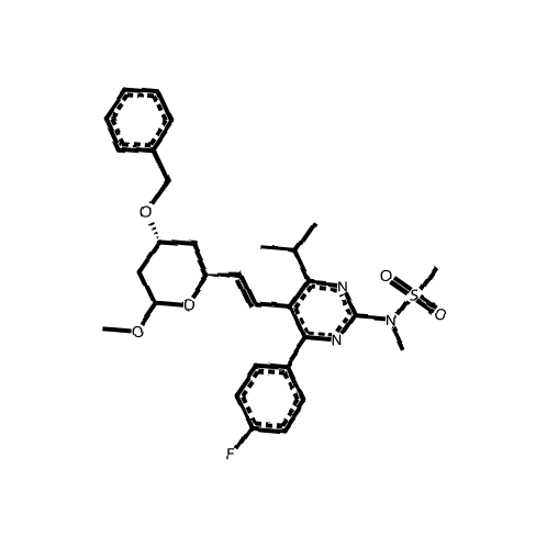 COC1C[C@H](OCc2ccccc2)C[C@@H](/C=C/c2c(-c3ccc(F)cc3)nc(N(C)S(C)(=O)=O)nc2C(C)C)O1